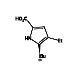 CCc1cc(C(=O)O)[nH]c1[C@H](C)CC